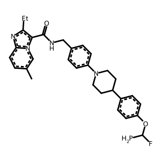 CCc1nc2ccc(C)cn2c1C(=O)NCc1ccc(N2CCC(c3ccc(OC(F)P)cc3)CC2)cc1